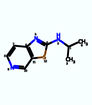 CC(C)Nc1nc2ccncc2s1